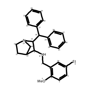 CCc1ccc(OC)c(CNC2C3CCN(C3)C2C(c2ccccc2)c2ccccc2)c1